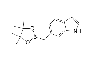 CC1(C)OB(Cc2ccc3cc[nH]c3c2)OC1(C)C